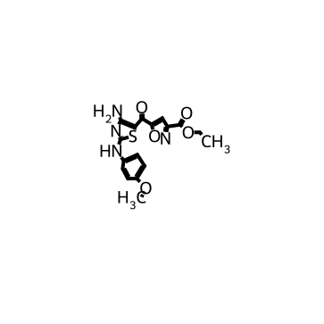 CCOC(=O)c1cc(C(=O)c2sc(Nc3ccc(OC)cc3)nc2N)on1